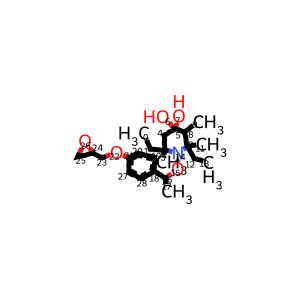 CCC1(C)CC(O)(O)C(C)C(C)(CC)N1OC(C)c1ccc(OCC2CO2)cc1